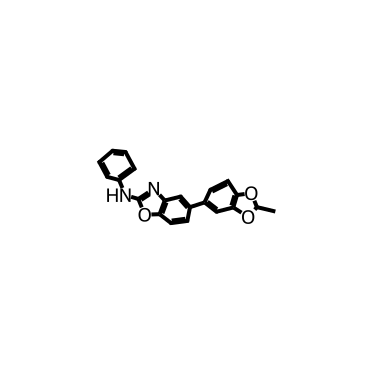 CC1Oc2ccc(-c3ccc4oc(Nc5ccccc5)nc4c3)cc2O1